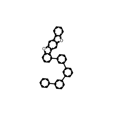 c1ccc(-c2cccc(-c3cccc(-c4cccc(-c5cccc6oc7cc8c(cc7c56)oc5ccccc58)c4)c3)c2)cc1